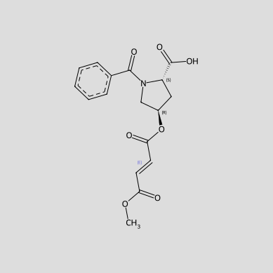 COC(=O)/C=C/C(=O)O[C@@H]1C[C@@H](C(=O)O)N(C(=O)c2ccccc2)C1